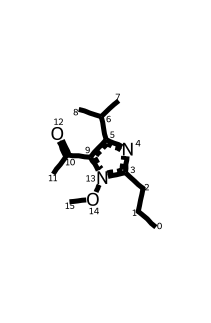 CCCc1nc(C(C)C)c(C(C)=O)n1OC